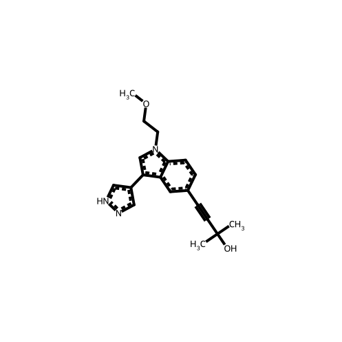 COCCn1cc(-c2cn[nH]c2)c2cc(C#CC(C)(C)O)ccc21